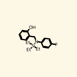 CC[Si](CC)(CC)N(Cc1ccccc1O)c1ccc(F)cc1